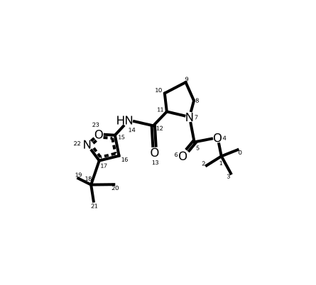 CC(C)(C)OC(=O)N1CCCC1C(=O)Nc1cc(C(C)(C)C)no1